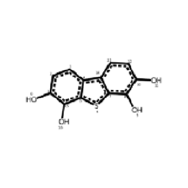 Oc1ccc2c(sc3c(O)c(O)ccc32)c1O